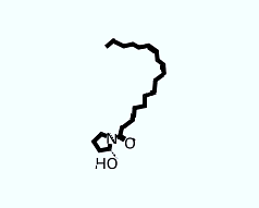 CCCCC/C=C\C/C=C\CCCCCCCC(=O)N1CCC[C@H]1CO